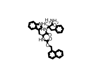 C[C@@](Cc1ccccc1)(NC(=O)[C@H](Cc1c[nH]c2ccccc12)NC(=O)OCc1cccc2ccccc12)C(N)=O